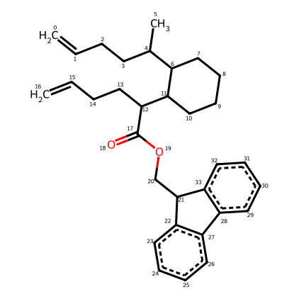 C=CCCC(C)C1CCCCC1C(CCC=C)C(=O)OCC1c2ccccc2-c2ccccc21